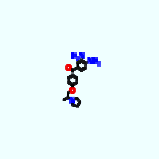 CC(COc1ccc(C(=O)c2ccc(N)c(N)c2)cc1)N1CCCC1